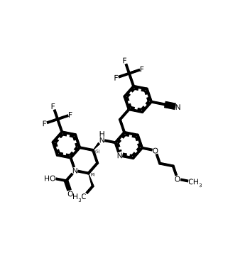 CC[C@@H]1C[C@H](Nc2ncc(OCCOC)cc2Cc2cc(C#N)cc(C(F)(F)F)c2)c2cc(C(F)(F)F)ccc2N1C(=O)O